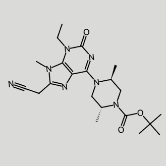 CCn1c(=O)nc(N2C[C@@H](C)N(C(=O)OC(C)(C)C)C[C@@H]2C)c2nc(CC#N)n(C)c21